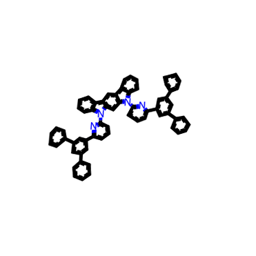 c1ccc(-c2cc(-c3ccccc3)cc(-c3cccc(-n4c5ccccc5c5cc6c7ccccc7n(-c7cccc(-c8cc(-c9ccccc9)cc(-c9ccccc9)c8)n7)c6cc54)n3)c2)cc1